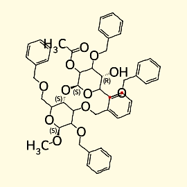 CO[C@H]1OC(COCc2ccccc2)[C@H](O[C@@H]2OC(COCc3ccccc3)[C@@H](O)C(OCc3ccccc3)C2OC(C)=O)C(OCc2ccccc2)C1OCc1ccccc1